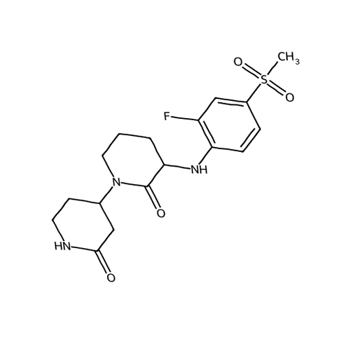 CS(=O)(=O)c1ccc(NC2CCCN(C3CCNC(=O)C3)C2=O)c(F)c1